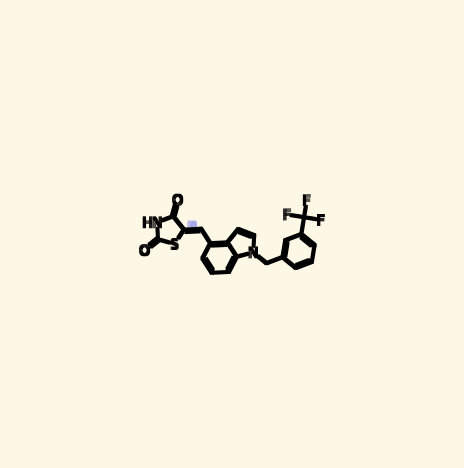 O=C1NC(=O)/C(=C/c2cccc3c2ccn3Cc2cccc(C(F)(F)F)c2)S1